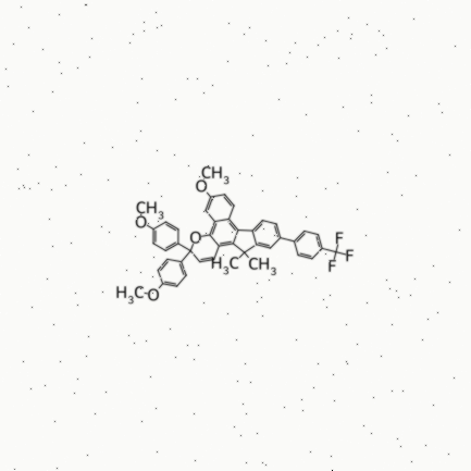 COc1ccc(C2(c3ccc(OC)cc3)C=Cc3c4c(c5ccc(OC)cc5c3O2)-c2ccc(-c3ccc(C(F)(F)F)cc3)cc2C4(C)C)cc1